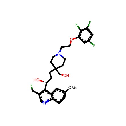 COc1ccc2ncc(CF)c([C@@H](O)CCC3(CO)CCN(CCOc4cc(F)cc(F)c4F)CC3)c2c1